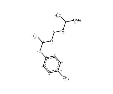 COC(C)OCOC(C)Oc1ccc(C)cc1